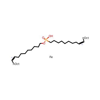 CCCCCCCC/C=C\CCCCCCCCOP(=O)(O)CCCCCCCC/C=C\CCCCCCCC.[Fe]